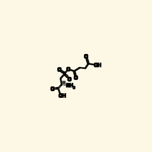 N[C@@H](CS(=O)(=O)OC(=O)CCC(=O)O)C(=O)O